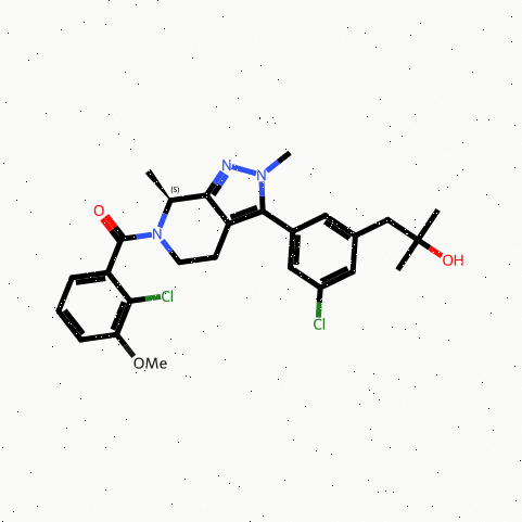 COc1cccc(C(=O)N2CCc3c(nn(C)c3-c3cc(Cl)cc(CC(C)(C)O)c3)[C@@H]2C)c1Cl